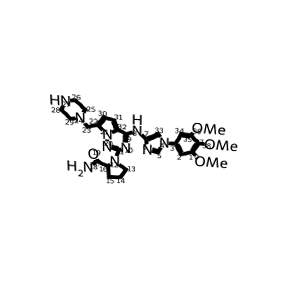 COc1cc(-n2cnc(Nc3nc(N4CCCC4C(N)=O)nn4c(CN5CCNCC5)ccc34)c2)cc(OC)c1OC